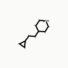 [CH](CC1CC1)C1CCNCC1